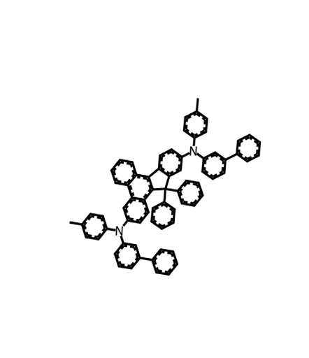 Cc1ccc(N(c2cccc(-c3ccccc3)c2)c2ccc3c(c2)C(c2ccccc2)(c2ccccc2)c2c-3c3ccccc3c3cc(N(c4ccc(C)cc4)c4cccc(-c5ccccc5)c4)ccc23)cc1